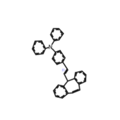 C1=Cc2ccccc2C(/C=C/c2ccc(N(c3ccccc3)c3ccccc3)cc2)c2ccccc21